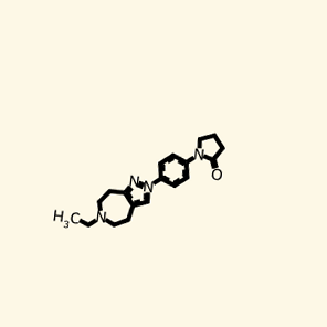 CCN1CCc2cn(-c3ccc(N4CCCC4=O)cc3)nc2CC1